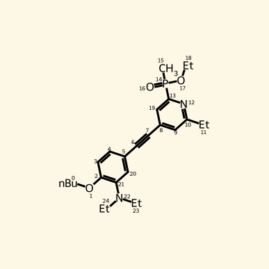 CCCCOc1ccc(C#Cc2cc(CC)nc(P(C)(=O)OCC)c2)cc1N(CC)CC